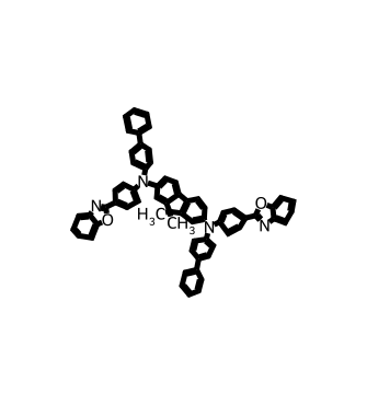 CC1(C)c2cc(N(c3ccc(-c4ccccc4)cc3)c3ccc(-c4nc5ccccc5o4)cc3)ccc2-c2ccc(N(c3ccc(-c4ccccc4)cc3)c3ccc(-c4nc5ccccc5o4)cc3)cc21